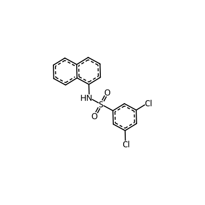 O=S(=O)(Nc1cccc2ccccc12)c1cc(Cl)cc(Cl)c1